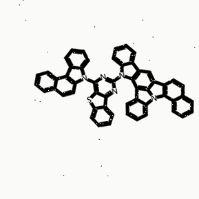 c1ccc2c(c1)ccc1c2c2ccccc2n1-c1nc(-n2c3ccccc3c3cc4c5ccc6ccccc6c5n5c6ccccc6c(c32)c45)nc2c1sc1ccccc12